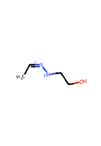 C/C=N\NCCO